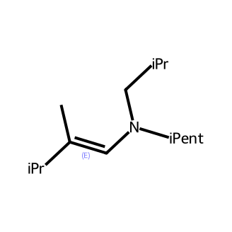 CCCC(C)N(/C=C(\C)C(C)C)CC(C)C